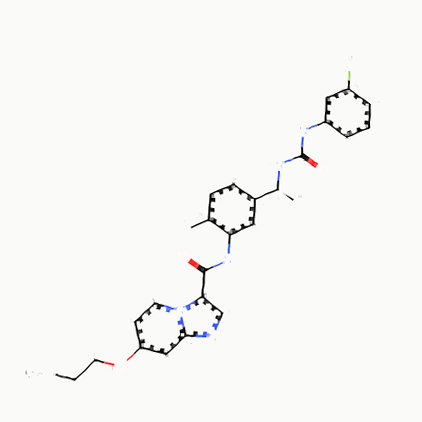 COCCOc1ccn2c(C(=O)Nc3cc([C@H](C)NC(=O)Nc4cccc(F)c4)ccc3C)cnc2c1